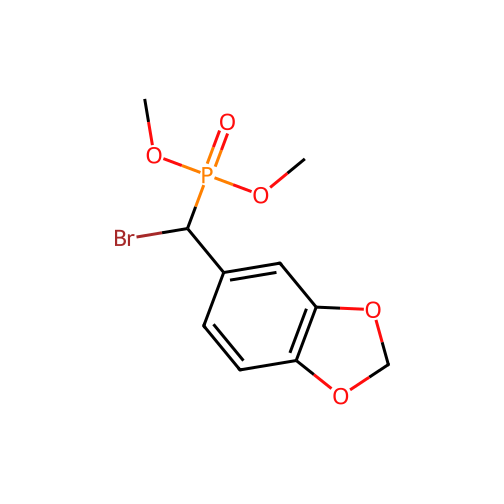 COP(=O)(OC)C(Br)c1ccc2c(c1)OCO2